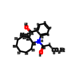 CCOC(=O)CC(=O)N(c1ccccc1C(=O)OC)C1CCCCCCC1